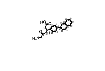 NCC(=O)NC(CC(=O)O)c1ccc(-c2ccc3ccccc3c2)cc1